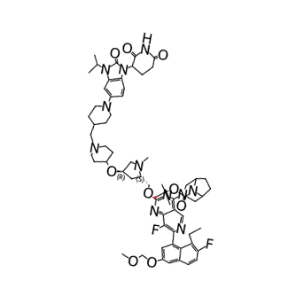 CCc1c(F)ccc2cc(OCOC)cc(-c3ncc4c(N5CC6CCC(C5)N6C(=O)OC(C)(C)C)nc(OC[C@@H]5C[C@@H](OC6CCN(CC7CCN(c8ccc9c(c8)n(C(C)C)c(=O)n9C8CCC(=O)NC8=O)CC7)CC6)CN5C)nc4c3F)c12